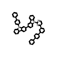 c1ccc(-c2ccc(-c3cccc(-c4ccnc(-n5c6ccccc6c6cc(-c7ccc8c9ccccc9n(-c9ccc(-c%10ccccc%10)cc9)c8c7)ccc65)n4)c3)cc2)cc1